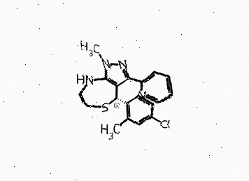 Cc1cc(Cl)ccc1[C@@H]1SCCNc2c1c(-c1ccccn1)nn2C